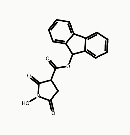 O=C(OC1c2ccccc2-c2ccccc21)C1CC(=O)N(O)C1=O